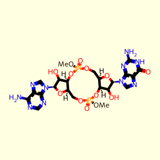 COP1(=O)OC[C@H]2O[C@@H](n3cnc4c(=O)[nH]c(N)nc43)C(O)[C@H]2OP(=O)(OC)OC[C@H]2O[C@@H](n3cnc4c(N)ncnc43)C(O)[C@H]2O1